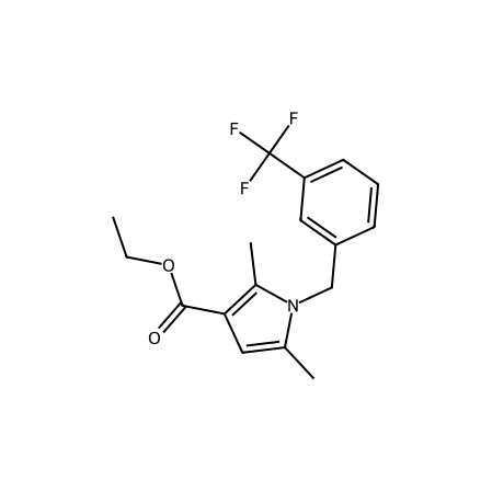 CCOC(=O)c1cc(C)n(Cc2cccc(C(F)(F)F)c2)c1C